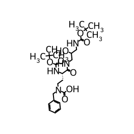 CC(C)(C)OC(=O)NCC(O)CNC(=O)[C@H](CCN(Cc1ccccc1)C(=O)O)NC(=O)OC(C)(C)C